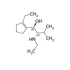 CCN[C@@H](C(C)C)[C@H](O)C1=C(CC)CCC1